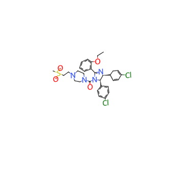 CCOc1ccccc1C1=N[C@@H](C2C=CC(Cl)=CC2)[C@@H](c2ccc(Cl)cc2)N1C(=O)N1CCN(CCS(C)(=O)=O)CC1